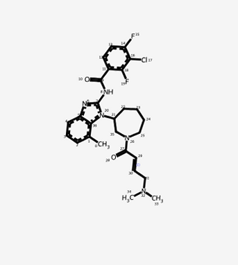 Cc1cccc2nc(NC(=O)c3ccc(F)c(Cl)c3F)n(C3CCCCN(C(=O)/C=C/CN(C)C)C3)c12